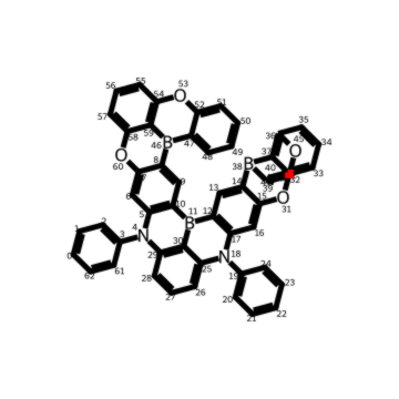 c1ccc(N2c3cc4c(cc3B3c5cc6c(cc5N(c5ccccc5)c5cccc2c53)Oc2cccc3c2B6c2ccccc2O3)B2c3ccccc3Oc3cccc(c32)O4)cc1